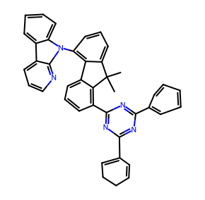 CC1(C)c2cccc(-n3c4ccccc4c4cccnc43)c2-c2cccc(-c3nc(C4=CCCC=C4)nc(-c4ccccc4)n3)c21